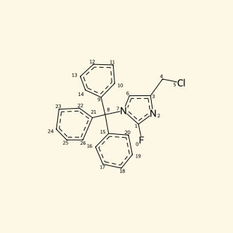 Fc1nc(CCl)cn1C(c1ccccc1)(c1ccccc1)c1ccccc1